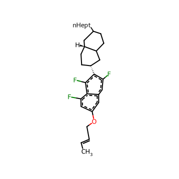 C/C=C/COc1cc(F)c2c(F)c([C@@H]3CC[C@@H]4CC(CCCCCCC)CCC4C3)c(F)cc2c1